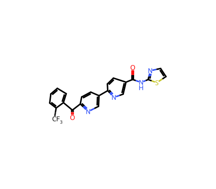 O=C(Nc1nccs1)c1ccc(-c2ccc(C(=O)c3ccccc3C(F)(F)F)nc2)nc1